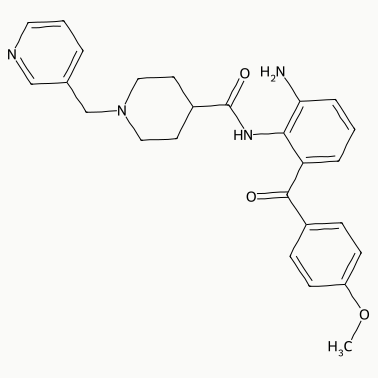 COc1ccc(C(=O)c2cccc(N)c2NC(=O)C2CCN(Cc3cccnc3)CC2)cc1